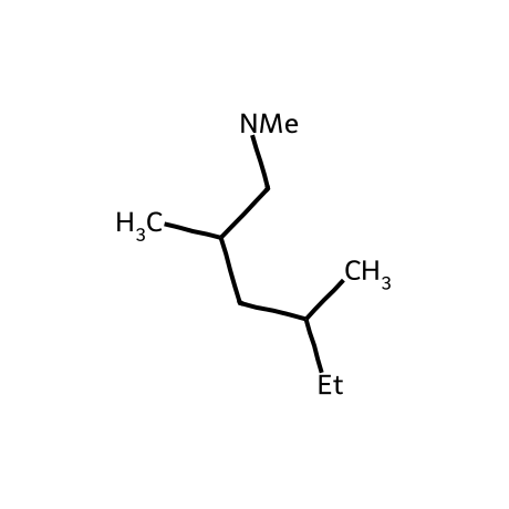 CCC(C)CC(C)CNC